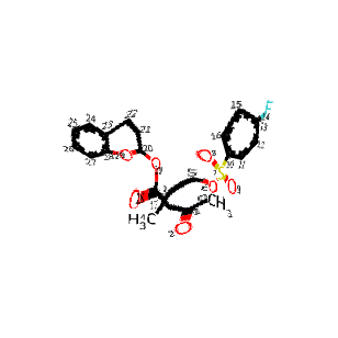 CC(=O)C(C)(COS(=O)(=O)c1ccc(F)cc1)C(=O)OC1CCc2ccccc2O1